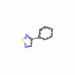 [c]1ccc(-c2cnsn2)cc1